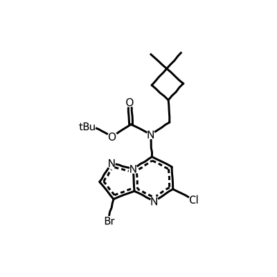 CC1(C)CC(CN(C(=O)OC(C)(C)C)c2cc(Cl)nc3c(Br)cnn23)C1